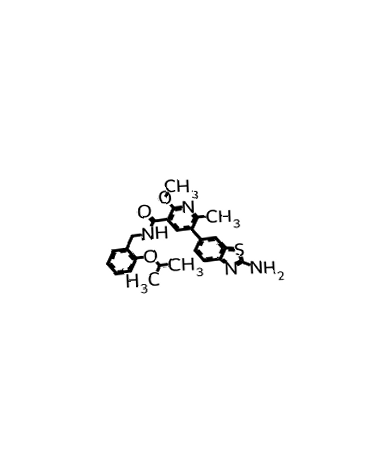 COc1nc(C)c(-c2ccc3nc(N)sc3c2)cc1C(=O)NCc1ccccc1OC(C)C